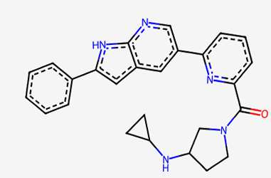 O=C(c1cccc(-c2cnc3[nH]c(-c4ccccc4)cc3c2)n1)N1CCC(NC2CC2)C1